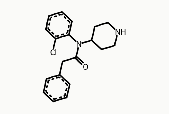 O=C(Cc1ccccc1)N(c1ccccc1Cl)C1CCNCC1